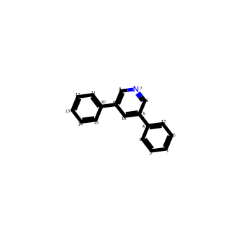 [c]1cccc(-c2cncc(-c3ccccc3)c2)c1